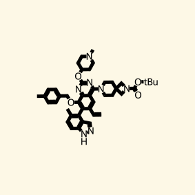 C=Cc1cc2c(N3CCC4(CC3)CN(C(=O)OC(C)(C)C)C4)nc(OC3CCN(C)CC3)nc2c(OCc2ccc(C)cc2)c1-c1c(C)ccc2[nH]ncc12